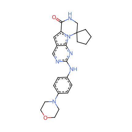 O=C1NCC2(CCCC2)n2c1cc1cnc(Nc3ccc(N4CCOCC4)cc3)nc12